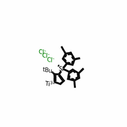 Cc1cc(C)cc([Si](C)(C2=CC[C]([Ti+3])=C2C(C)(C)C)c2cc(C)cc(C)c2)c1.[Cl-].[Cl-].[Cl-]